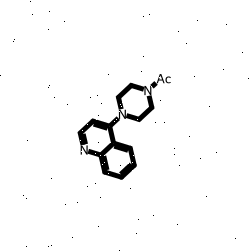 CC(=O)N1CCN(c2ccnc3ccccc23)CC1